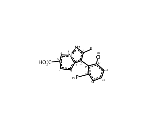 Cc1nn2cc(C(=O)O)ccc2c1-c1c(F)cccc1Cl